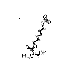 CN(CO)C(=O)OCCSSCCO[N+](=O)[O-]